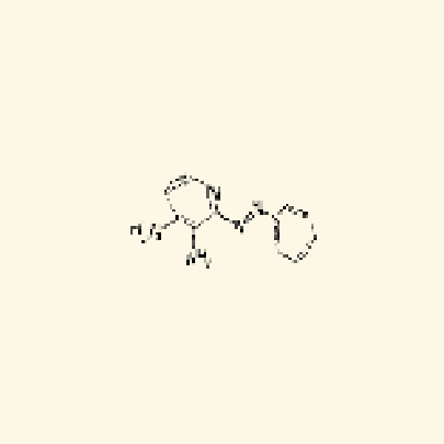 Nc1ccnc(N=Nc2ccccc2)c1N